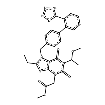 CCc1nc2c(c(=O)n(C(C)OC)c(=O)n2CC(=O)OC)n1Cc1ccc(-c2ccccc2-c2nnn[nH]2)cc1